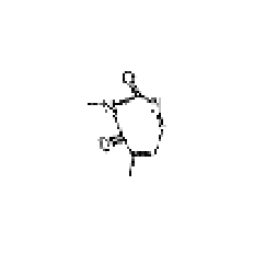 Cc1ccnc(=O)n(C)c1=O